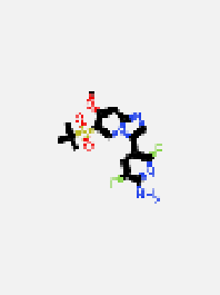 COc1cc2ncc(-c3cc(F)c(N)nc3F)n2cc1S(=O)(=O)C(C)(C)C